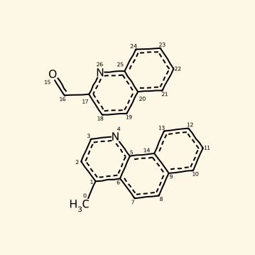 Cc1ccnc2c1ccc1ccccc12.O=Cc1ccc2ccccc2n1